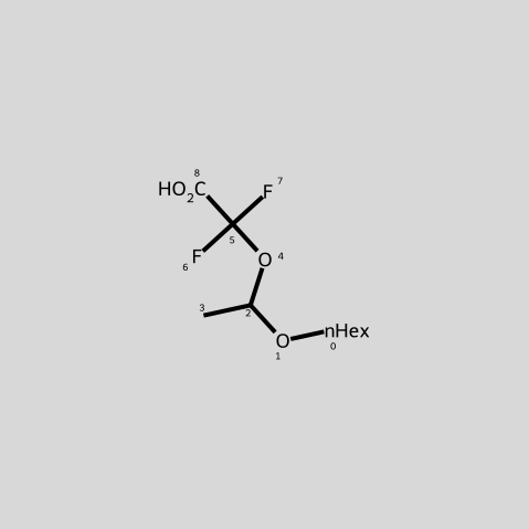 CCCCCCOC(C)OC(F)(F)C(=O)O